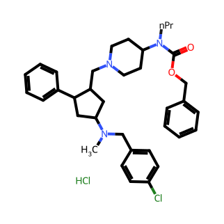 CCCN(C(=O)OCc1ccccc1)C1CCN(CC2CC(N(C)Cc3ccc(Cl)cc3)CC2c2ccccc2)CC1.Cl